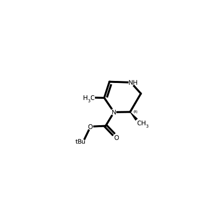 CC1=CNC[C@@H](C)N1C(=O)OC(C)(C)C